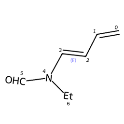 C=C/C=C/N(C=O)CC